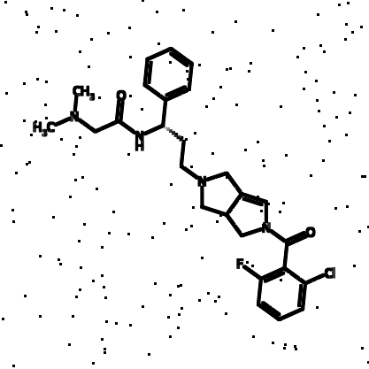 CN(C)CC(=O)N[C@@H](CCN1CC2=CN(C(=O)c3c(F)cccc3Cl)CC2C1)c1ccccc1